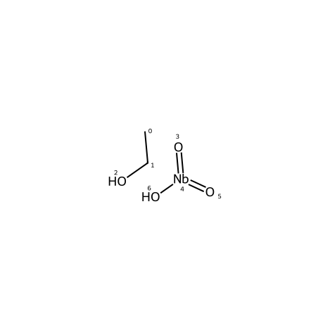 CCO.[O]=[Nb](=[O])[OH]